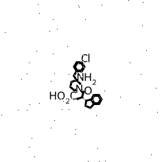 N[C@@]1(Cc2ccc(Cl)cc2)CCCN(C(=O)C(CC(=O)O)[C@H]2CCc3ccccc32)C1